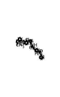 Cc1ccc2cccc(OCc3c(Cl)ccc(-n4cccc4CNC(=O)C=Cc4ccc(C(=O)NCc5ccccn5)cc4)c3Cl)c2n1